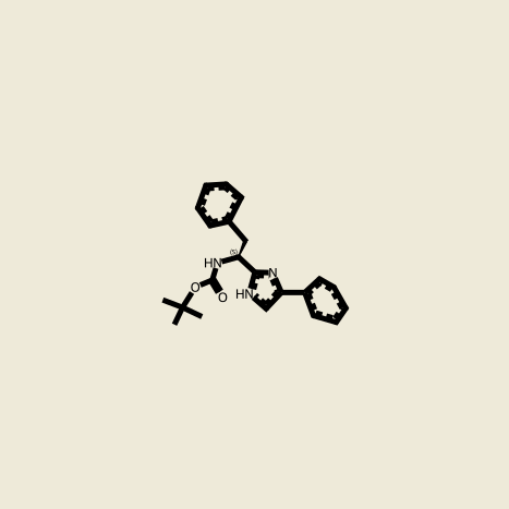 CC(C)(C)OC(=O)N[C@@H](Cc1ccccc1)c1nc(-c2ccccc2)c[nH]1